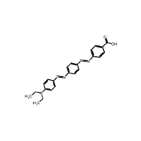 CCN(CC)c1ccc(N=Nc2ccc(N=Nc3ccc(C(=O)O)cc3)cc2)cc1